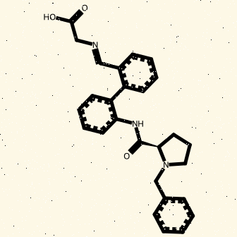 O=C(O)CN=Cc1ccccc1-c1ccccc1NC(=O)[C@H]1CCCN1Cc1ccccc1